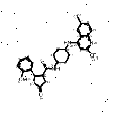 COc1ccccc1C1OC(=O)CC1C(=O)NC1CCC(Nc2cc(C(F)(F)F)nc3ccc(Cl)cc23)CC1